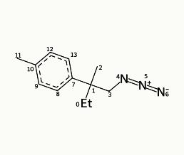 CCC(C)(CN=[N+]=[N-])c1ccc(C)cc1